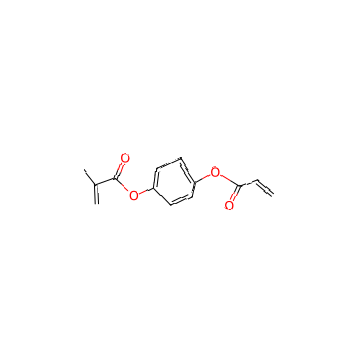 C=CC(=O)Oc1ccc(OC(=O)C(=C)C)cc1